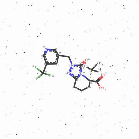 CC(C)(C)[C@]1(C(=O)O)CCCc2nn(Cc3cncc(C(F)(F)F)c3)c(=O)n21